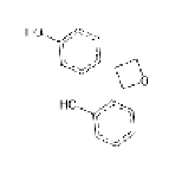 C1COC1.Oc1ccccc1.Oc1ccccc1